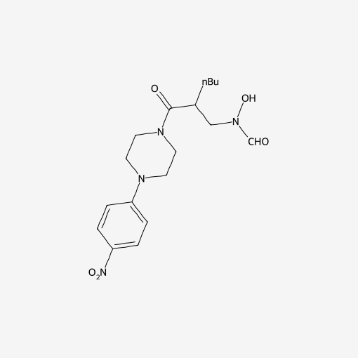 CCCCC(CN(O)C=O)C(=O)N1CCN(c2ccc([N+](=O)[O-])cc2)CC1